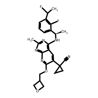 Cc1nc(N[C@H](C)c2cccc(C(C)F)c2F)c2cc(C3(C#N)CC3)c(OCC3COC3)nc2n1